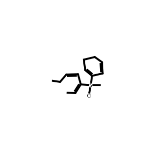 C/C=C(\C=C/CC)S(C)(Cl)C1=CCCC=C1